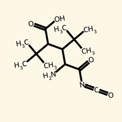 CC(C)(C)C(C(=O)O)C(C(N)C(=O)N=C=O)C(C)(C)C